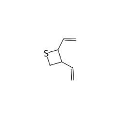 C=CC1CSC1C=C